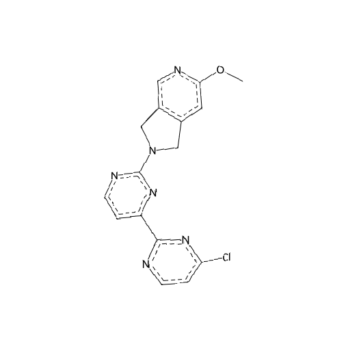 COc1cc2c(cn1)CN(c1nccc(-c3nccc(Cl)n3)n1)C2